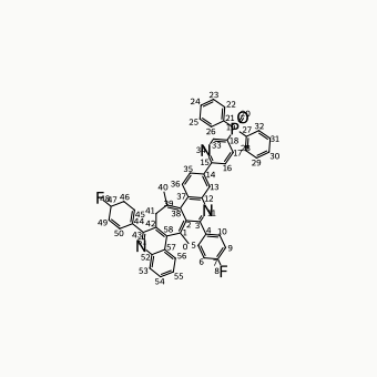 CC1=c2c(-c3ccc(F)cc3)nc3cc(-c4ccc(P(=O)(c5ccccc5)c5ccccc5)cn4)ccc3c2=C(C)Cc2c(C3=CCC(F)C=C3)nc3ccccc3c21